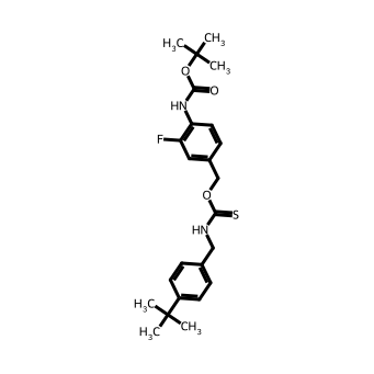 CC(C)(C)OC(=O)Nc1ccc(COC(=S)NCc2ccc(C(C)(C)C)cc2)cc1F